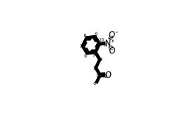 CC(=O)CCc1ccccc1[N+](=O)[O-]